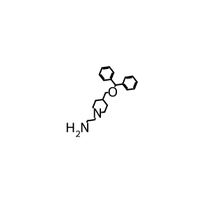 NCCN1CCC(COC(c2ccccc2)c2ccccc2)CC1